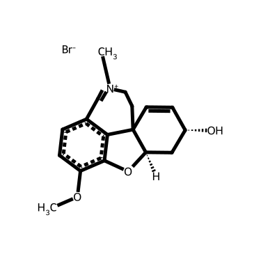 COc1ccc2c3c1O[C@@H]1C[C@@H](O)C=CC31CC[N+](C)=C2.[Br-]